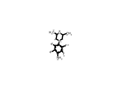 CC1CN(c2c(F)c(F)c(N)c(F)c2F)CC(C)O1